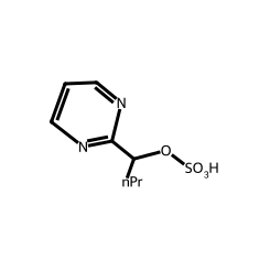 CCCC(OS(=O)(=O)O)c1ncccn1